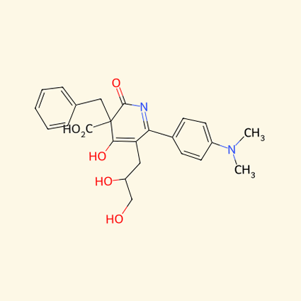 CN(C)c1ccc(C2=NC(=O)C(Cc3ccccc3)(C(=O)O)C(O)=C2CC(O)CO)cc1